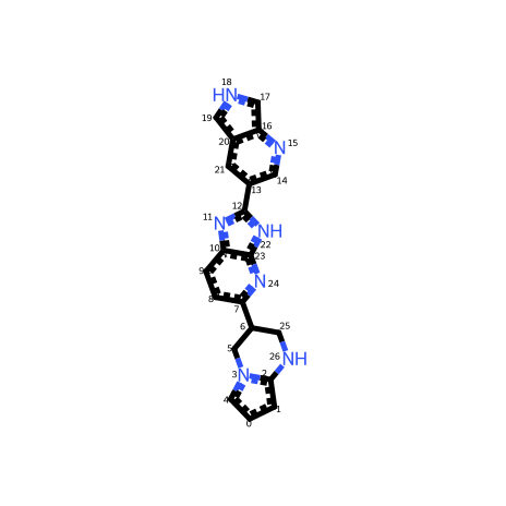 c1cc2n(c1)CC(c1ccc3nc(-c4cnc5c[nH]cc5c4)[nH]c3n1)CN2